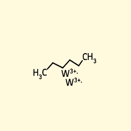 CCCCCC.[W+3].[W+3]